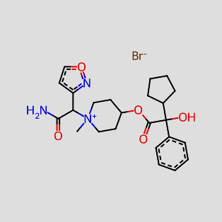 C[N+]1(C(C(N)=O)c2ccon2)CCC(OC(=O)C(O)(c2ccccc2)C2CCCC2)CC1.[Br-]